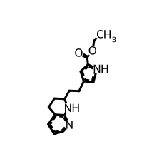 CCOC(=O)c1cc(CCC2CCc3cccnc3N2)c[nH]1